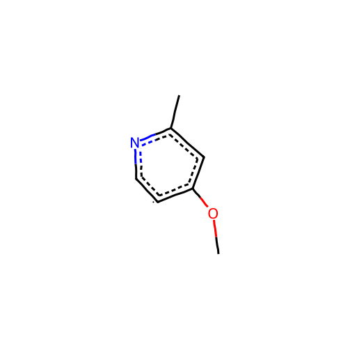 COc1[c]cnc(C)c1